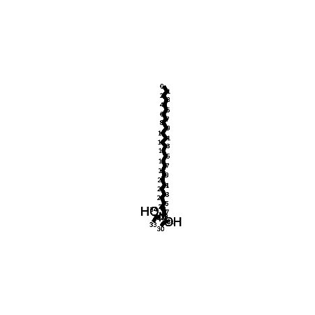 CCCCCCCCCCCCCCCCCCCCCCCCCCC=CN(C(C)O)C(C)O